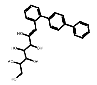 OCC(O)C(O)C(O)C(O)C(O)=Cc1ccccc1-c1ccc(-c2ccccc2)cc1